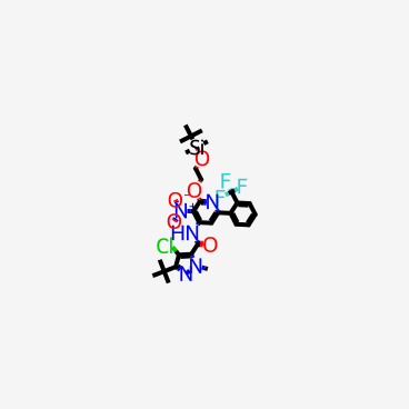 Cn1nc(C(C)(C)C)c(Cl)c1C(=O)Nc1cc(-c2ccccc2C(F)(F)F)nc(OCCO[Si](C)(C)C(C)(C)C)c1[N+](=O)[O-]